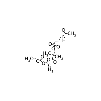 CCOC(=O)OC(C)OC(=O)C(C)(C)COS(=O)(=O)CCCNC(C)=O